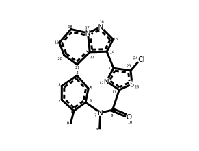 Cc1ccccc1N(C)C(=O)c1nc(-c2cnn3ccccc23)c(Cl)s1